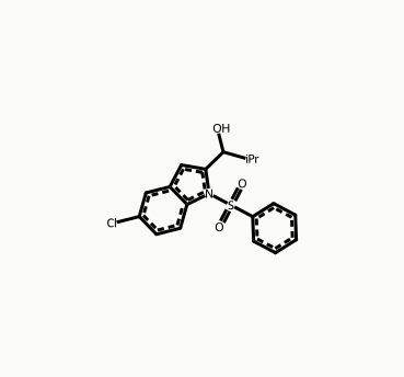 CC(C)C(O)c1cc2cc(Cl)ccc2n1S(=O)(=O)c1ccccc1